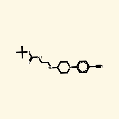 CC(C)(C)OC(=O)NCCNC1CCN(c2ccc(C#N)cc2)CC1